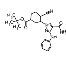 CC(C)(C)OC(=O)C1CCC(C#N)C(n2cc(C(N)=O)c(Nc3ccccc3)n2)C1